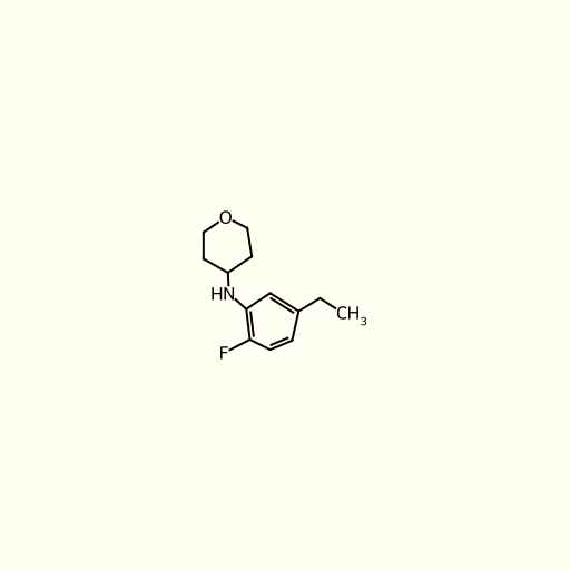 CCc1ccc(F)c(NC2CCOCC2)c1